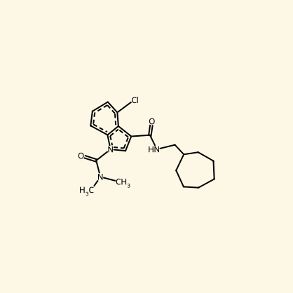 CN(C)C(=O)n1cc(C(=O)NCC2CCCCCC2)c2c(Cl)cccc21